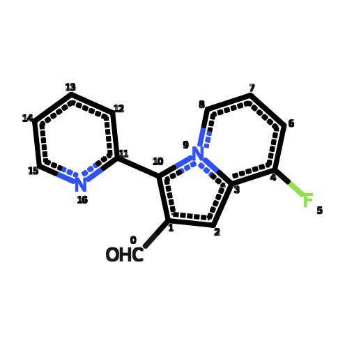 O=Cc1cc2c(F)cccn2c1-c1ccccn1